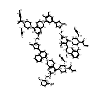 C=CC(=O)N1CCN(c2nc(OC[C@@H]3CC(c4cc(C)c(C)c(N5CCc6c(nc(OC[C@@H]7CC(c8ccc(N9CCc%10c(nc(OC[C@@H]%11[C@@H](O)CCN%11C)nc%10N%10CCN(C(=O)C=C)[C@@H](CC#N)C%10)C9)c9ccccc89)CN7C)nc6N6CCN(C(=O)C#CC)[C@@H](CC#N)C6)C5)c4)CN3C)nc(C)c2CCN(C)c2cccc(F)c2C)C[C@@H]1CC#N